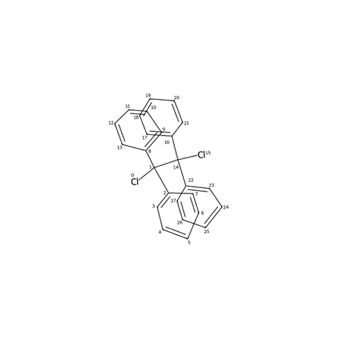 ClC(c1ccccc1)(c1ccccc1)C(Cl)(c1ccccc1)c1ccccc1